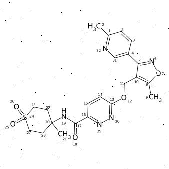 Cc1ccc(-c2noc(C)c2COc2ccc(C(=O)NC3(C)CCS(=O)(=O)CC3)nn2)cn1